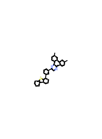 Cc1ccc2c(c1)c1cc(C)ccc1c1nc(-c3cccc(-c4cccc5c4sc4ccccc45)c3)cnc21